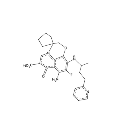 CC(CCc1ccccn1)Nc1c(F)c(N)c2c(=O)c(C(=O)O)cn3c2c1OCC31CCCC1